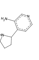 Nc1cnccc1C1CCCN1